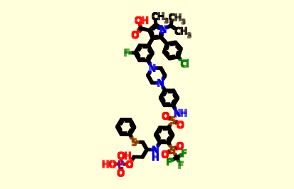 Cc1c(C(=O)O)c(-c2cc(F)cc(N3CCN(c4ccc(NS(=O)(=O)c5ccc(NC(CCOP(=O)(O)O)CSc6ccccc6)c(S(=O)(=O)C(F)(F)F)c5)cc4)CC3)c2)c(-c2ccc(Cl)cc2)n1C(C)C